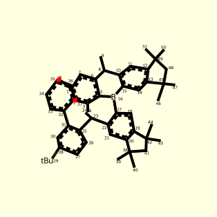 Cc1cc(C)c2c(c1)C(C)c1cc3c(cc1B2c1cc2c(cc1C(C)c1ccc(C(C)(C)C)cc1-c1ccccc1)C(C)(C)CC2(C)C)C(C)(C)CC3(C)C